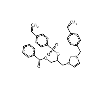 C=Cc1ccc(CN2C=CN(CC(COC(=O)c3ccccc3)OS(=O)(=O)c3ccc(C=C)cc3)C2)cc1